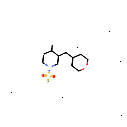 CCS(=O)(=O)N1CCC(C#N)C(CC2CCOCC2)C1